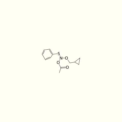 CC(=O)ON(OCC1CC1)Sc1ccccc1